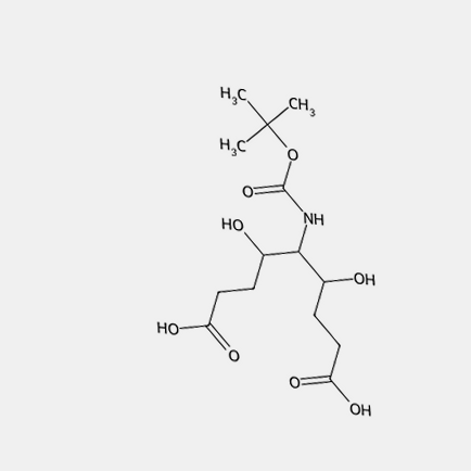 CC(C)(C)OC(=O)NC(C(O)CCC(=O)O)C(O)CCC(=O)O